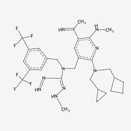 CN/N=C(\N=N)N(Cc1cc(C(F)(F)F)cc(C(F)(F)F)c1)Cc1cc(C(C)=N)c(NC)nc1N(CC1CCC1)CC1CC1